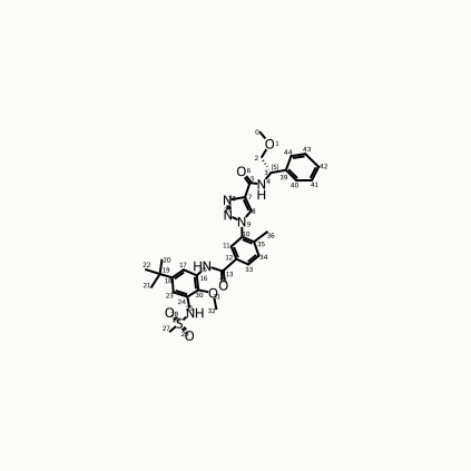 COC[C@@H](NC(=O)c1cn(-c2cc(C(=O)Nc3cc(C(C)(C)C)cc(NS(C)(=O)=O)c3OC)ccc2C)nn1)c1ccccc1